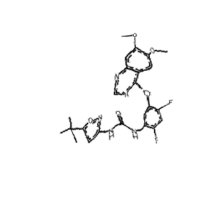 COc1cc2ncnc(Oc3cc(NC(=O)Nc4cc(C(C)(C)C)on4)c(F)cc3F)c2cc1OC